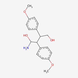 COc1ccc(C(CO)C(c2ccc(OC)cc2)C(N)O)cc1